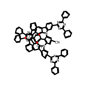 N#Cc1cc(-n2c3cc(-c4nc(-c5ccccc5)nc(-c5ccccc5)n4)ccc3c3ccc(-c4nc(-c5ccccc5)nc(-c5ccccc5)n4)cc32)c(-c2ccc(C(F)(F)F)cc2C(F)(F)F)c(-n2c3cc(-c4nc(-c5ccccc5)nc(-c5ccccc5)n4)ccc3c3ccc(-c4nc(-c5ccccc5)nc(-c5ccccc5)n4)cc32)c1